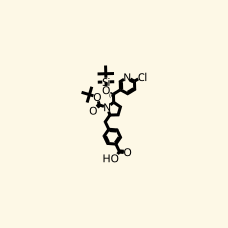 CC(C)(C)OC(=O)N1C(Cc2ccc(C(=O)O)cc2)CCC1[C@H](O[Si](C)(C)C(C)(C)C)c1ccc(Cl)nc1